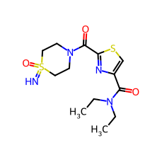 CCN(CC)C(=O)c1csc(C(=O)N2CCS(=N)(=O)CC2)n1